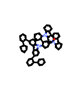 c1ccc(-c2ccccc2-c2ccc3c(c2)c2cc(-c4ccccc4-c4ccccc4)ccc2n3-c2ccc(-n3c4ccccc4c4ccccc43)cc2-c2ccccc2-n2c3ccccc3c3ccccc32)cc1